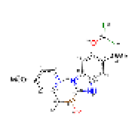 COc1ccnc(C(C)[S+]([O-])c2nc3cc(OC(F)F)c(OC)cc3[nH]2)c1